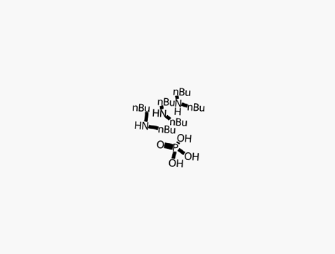 CCCCNCCCC.CCCCNCCCC.CCCCNCCCC.O=P(O)(O)O